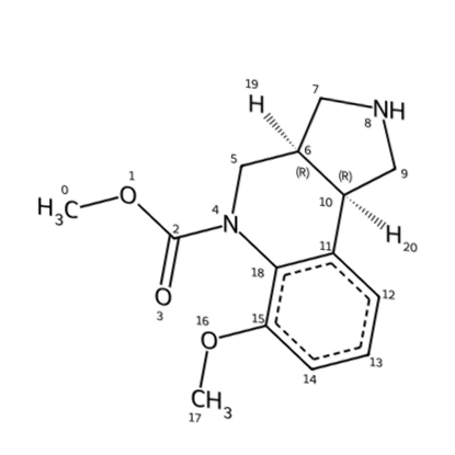 COC(=O)N1C[C@H]2CNC[C@H]2c2cccc(OC)c21